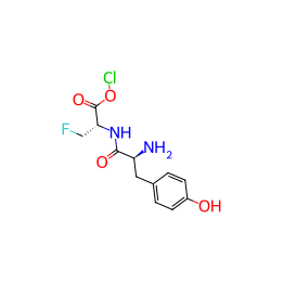 N[C@@H](Cc1ccc(O)cc1)C(=O)N[C@H](CF)C(=O)OCl